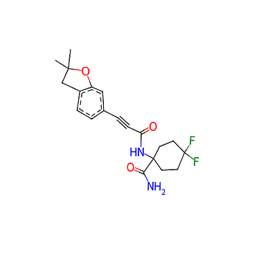 CC1(C)Cc2ccc(C#CC(=O)NC3(C(N)=O)CCC(F)(F)CC3)cc2O1